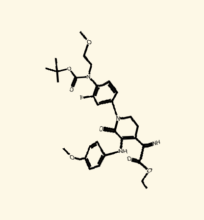 CCOC(=O)C(=N)C1=C(Nc2ccc(OC)cc2)C(=O)N(c2ccc(N(CCOC)C(=O)OC(C)(C)C)c(F)c2)CC1